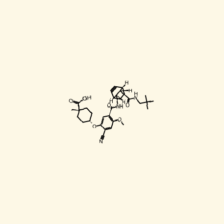 COc1cc(C#N)c(O[C@H]2CC[C@@](C)(C(=O)O)CC2)cc1C(=O)N[C@H]1[C@@H](C(=O)NCC(C)(C)C)[C@@H]2C#C[C@H]1CC2